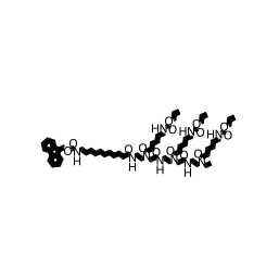 C=CCOC(=O)NCCCCCC(=O)N(CC)CCNC(=O)CN(CCNC(=O)CN(CCNC(=O)CCCCCCCCCCNC(=O)OCC1c2ccccc2-c2ccccc21)C(=O)CCCCCNC(=O)OCC=C)C(=O)CCCCCNC(=O)OCC=C